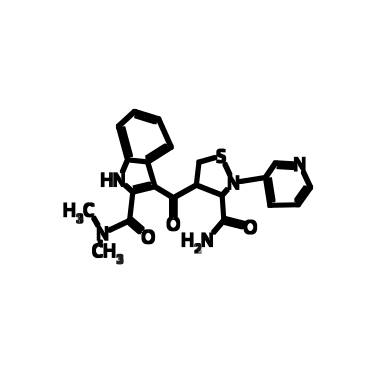 CN(C)C(=O)c1[nH]c2ccccc2c1C(=O)C1CSN(c2cccnc2)C1C(N)=O